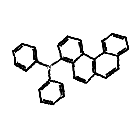 c1ccc(N(c2ccccc2)c2cccc3c2ccc2ccc4ccccc4c23)cc1